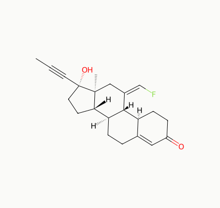 CC#C[C@]1(O)CC[C@H]2[C@@H]3CCC4=CC(=O)CC[C@@H]4[C@H]3/C(=C\F)C[C@@]21C